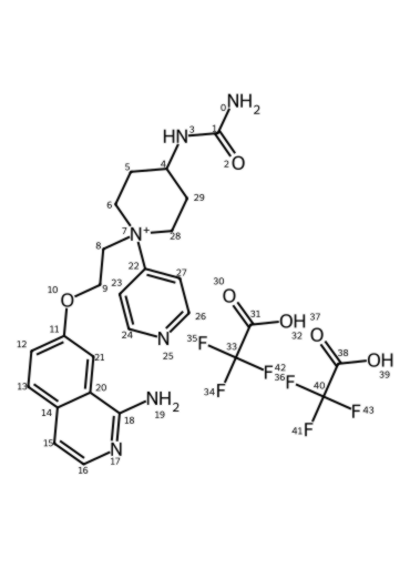 NC(=O)NC1CC[N+](CCOc2ccc3ccnc(N)c3c2)(c2ccncc2)CC1.O=C(O)C(F)(F)F.O=C(O)C(F)(F)F